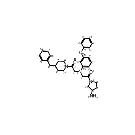 NC1CCN(C(=O)CN(CC(=O)N2CCC(Cc3ccccc3)CC2)c2cccc(Oc3ccccc3)c2)C1